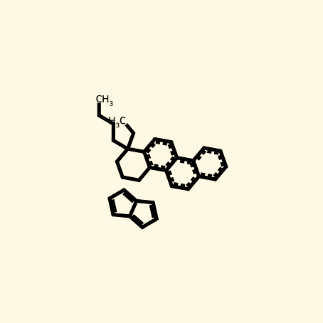 C1=CC2=CC=CC2=C1.CCCCC1(CC)CCCc2c1ccc1c2ccc2ccccc21